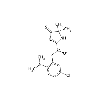 CN(C)c1ccc(Cl)cc1C[S+]([O-])C1=NC(=S)C(C)(C)N1